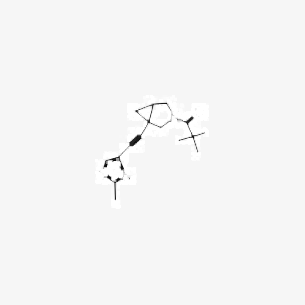 Cc1nc(C#CC23CC2CN(C(=O)C(C)(C)C)C3)cs1